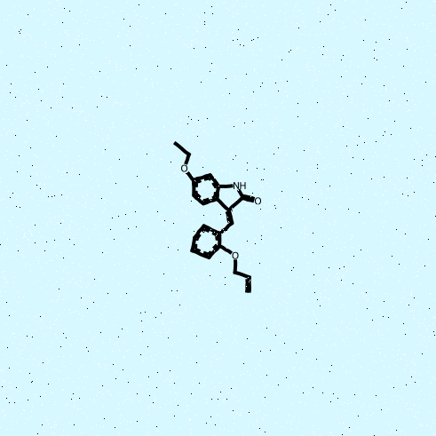 C=CCOc1ccccc1/C=C1/C(=O)Nc2cc(OCC)ccc21